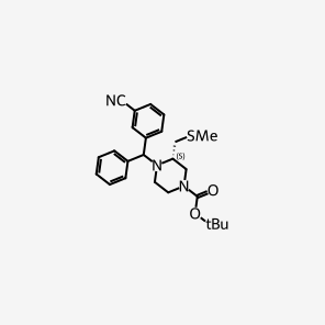 CSC[C@@H]1CN(C(=O)OC(C)(C)C)CCN1C(c1ccccc1)c1cccc(C#N)c1